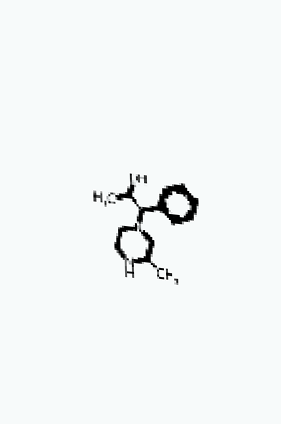 CC(O)[C@@H](c1ccccc1)N1CCN[C@H](C)C1